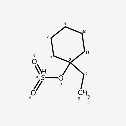 CCC1(O[SH](=O)=O)CCCCC1